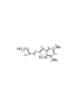 CCOc1c(C(C)=CC=CC(C)=CC(=O)O)cc(C(C)(C)C)cc1C(C)(C)C